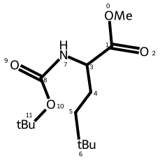 COC(=O)C(CCC(C)(C)C)NC(=O)OC(C)(C)C